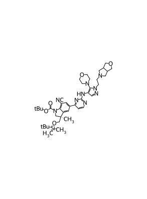 CC(C)(C)OC(=O)N1C[C@](C)(CO[Si](C)(C)C(C)(C)C)c2cc(-c3ccnc(Nc4cnn(CCN5CC6COCC6C5)c4N4CCOCC4)n3)cc(C#N)c21